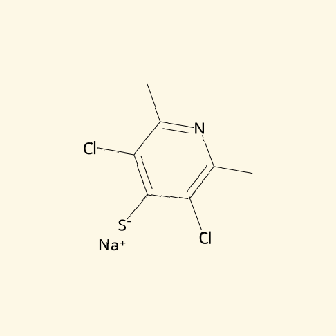 Cc1nc(C)c(Cl)c([S-])c1Cl.[Na+]